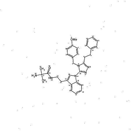 COc1ccc(Cn2c(CCc3ccccc3)nnc2-n2cc(CCNC(=O)C(C)(C)N)c3ccccc32)cc1